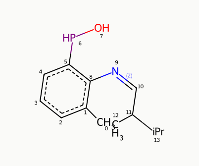 Cc1cccc(PO)c1/N=C\C(C)C(C)C